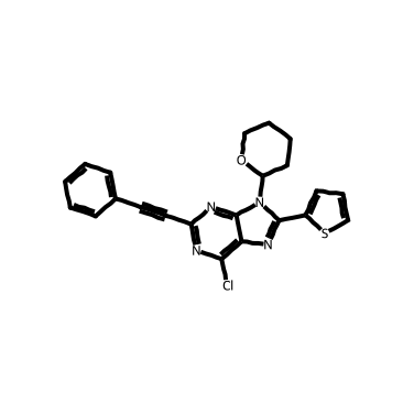 Clc1nc(C#Cc2ccccc2)nc2c1nc(-c1cccs1)n2C1CCCCO1